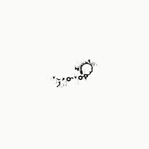 COc1cc2cc(c1-c1ccc(NC(=O)OCc3ccc(NC(=O)[C@H](CCCNC(N)=O)NC(=O)C(N)C(C)C)cc3)cc1)N(C)C(=O)C[C@H](OC(=O)C(C)C)[C@]1(C)O[C@H]1[C@H](C)[C@@H]1C[C@@](O)(NC(=O)O1)[C@H](OC)/C=C/C=C(\C)C2